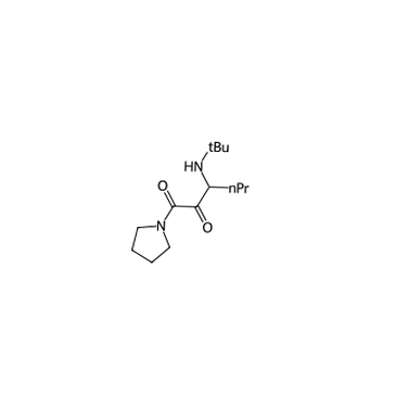 CCCC(NC(C)(C)C)C(=O)C(=O)N1CCCC1